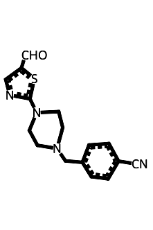 N#Cc1ccc(CN2CCN(c3ncc(C=O)s3)CC2)cc1